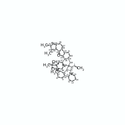 C=CC1C2C(c3ccccc3-c3cccc[n+]32)C12Cc1ccc3c(oc4c3ccc3sc(C)c(C)c34)c1-c1cc(C(C)(C)C)c(C)c[n+]12